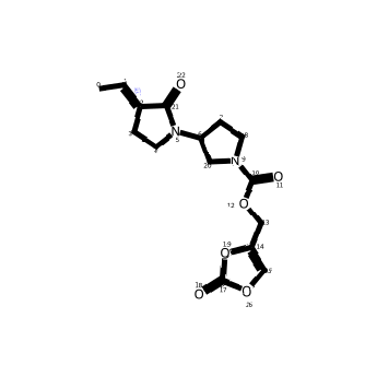 C/C=C1\CCN(C2CCN(C(=O)OCc3coc(=O)o3)C2)C1=O